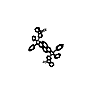 CCn1c2ccccc2c2cc(N3c4c(cc5ccc6c7c(cc8ccc4c5c86)C(c4ccccc4)C(c4ccccc4)N7c4ccc5c(c4)c4ccccc4n5CC)C(c4ccccc4)C3c3ccccc3)ccc21